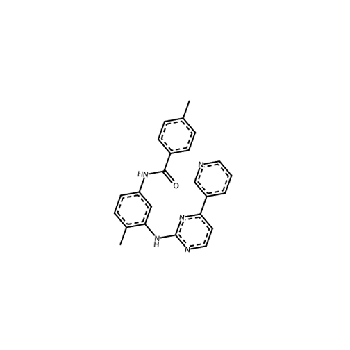 Cc1ccc(C(=O)Nc2ccc(C)c(Nc3nccc(-c4cccnc4)n3)c2)cc1